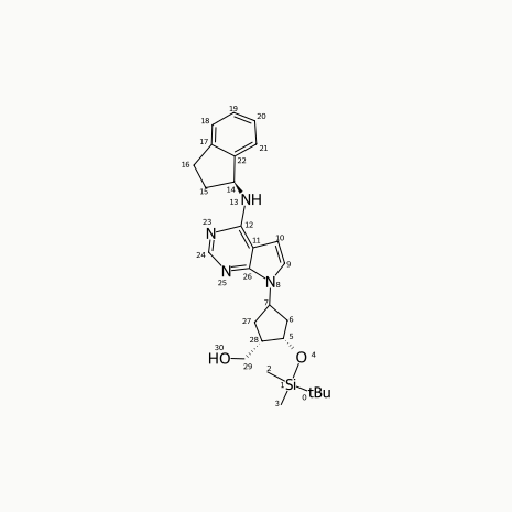 CC(C)(C)[Si](C)(C)O[C@H]1CC(n2ccc3c(N[C@H]4CCc5ccccc54)ncnc32)C[C@H]1CO